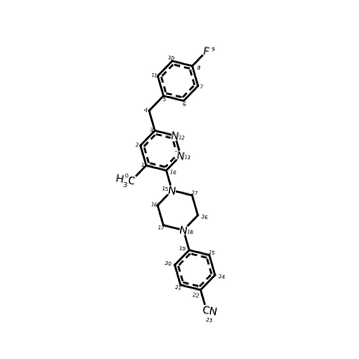 Cc1cc(Cc2ccc(F)cc2)nnc1N1CCN(c2ccc(C#N)cc2)CC1